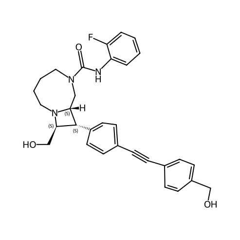 O=C(Nc1ccccc1F)N1CCCCN2[C@H](CO)[C@@H](c3ccc(C#Cc4ccc(CO)cc4)cc3)[C@H]2C1